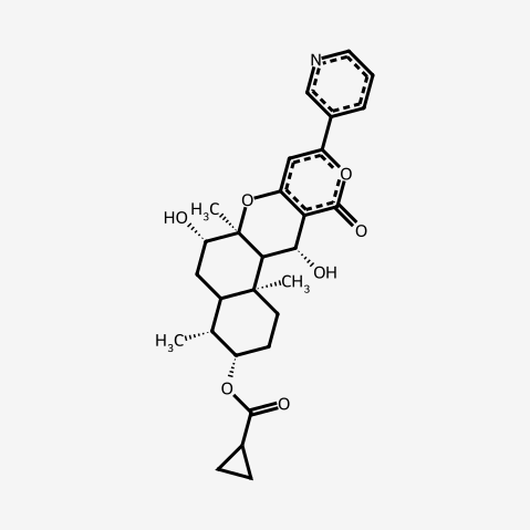 C[C@@H]1C2C[C@H](O)[C@@]3(C)Oc4cc(-c5cccnc5)oc(=O)c4[C@H](O)C3[C@@]2(C)CC[C@@H]1OC(=O)C1CC1